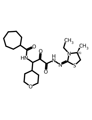 CCN1C(=NNC(=O)C(=O)C(NC(=O)C2CCCCCC2)C2CCOCC2)SC[C@@H]1C